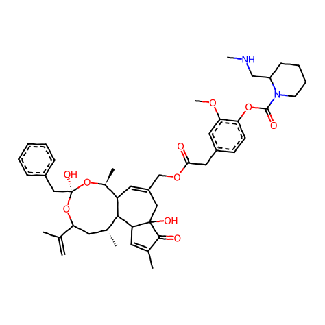 C=C(C)C1C[C@@H](C)C2C(C=C(COC(=O)Cc3ccc(OC(=O)N4CCCCC4CNC)c(OC)c3)CC3(O)C(=O)C(C)=CC23)[C@H](C)O[C@](O)(Cc2ccccc2)O1